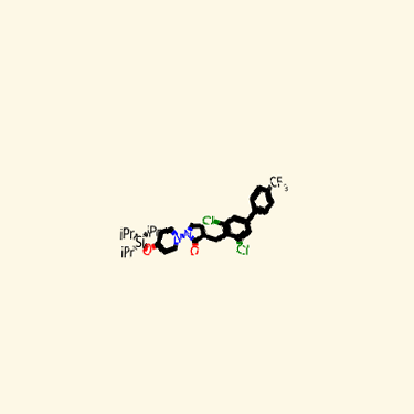 CC(C)[Si](OC1CCN(N2CCC(Cc3c(Cl)cc(-c4ccc(C(F)(F)F)cc4)cc3Cl)C2=O)CC1)(C(C)C)C(C)C